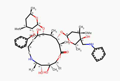 CC[C@H]1OC(=O)[C@H](C)[C@@H](O[C@H]2C[C@@](C)(OC)[C@](O)(CNc3ccccc3)[C@H](C)O2)[C@H](C)[C@@H](O[C@@H]2O[C@H](C)C[C@H](NC)[C@H]2Oc2ccccc2)[C@](C)(O)C[C@@H](C)CN[C@H](C)[C@@H](O)[C@]1(C)O